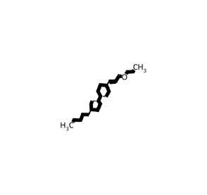 CCCCC[C@H]1CC[C@H]([C@H]2CC[C@H](C=CCOCCC)CC2)CC1